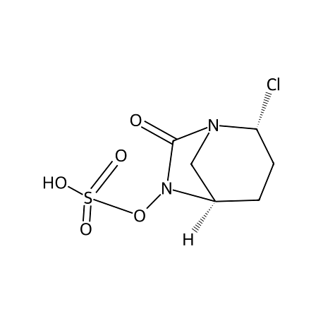 O=C1N2C[C@@H](CC[C@H]2Cl)N1OS(=O)(=O)O